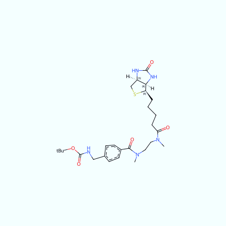 CN(CCN(C)C(=O)c1ccc(CNC(=O)OC(C)(C)C)cc1)C(=O)CCCC[C@H]1SC[C@H]2NC(=O)N[C@H]21